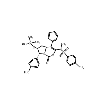 Cc1ccc([C@@H]2[C@@H](O[Si](C)(C)C(C)(C)C)CC3C(c4ccccc4)=C(N(C)S(=O)(=O)c4ccc(C)cc4)OC(=O)N32)cc1